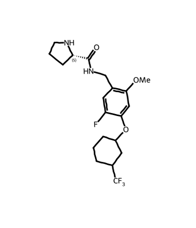 COc1cc(OC2CCCC(C(F)(F)F)C2)c(F)cc1CNC(=O)[C@@H]1CCCN1